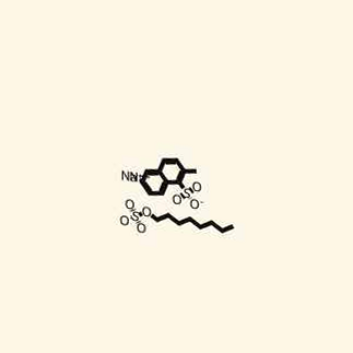 CCCCCCCCOS(=O)(=O)[O-].Cc1ccc2ccccc2c1S(=O)(=O)[O-].[Na+].[Na+]